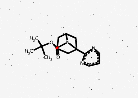 CC(C)(C)OC(=O)N1C2CCCC1(c1ncccn1)C2